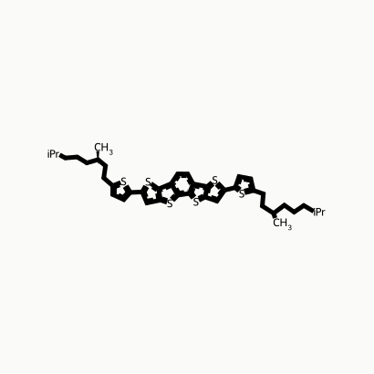 CC(C)CCCC(C)CCc1ccc(-c2cc3sc4c(ccc5c6sc(-c7ccc(CC[C@H](C)CCCC(C)C)s7)cc6sc54)c3s2)s1